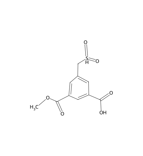 COC(=O)c1cc(C[SH](=O)=O)cc(C(=O)O)c1